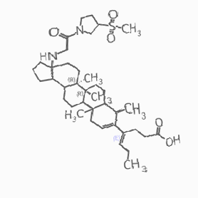 CC/C=C(\CCC(=O)O)C1=CCC2(C)C(CC[C@]3(C)C2CCC2C4CCCC4(NCC(=O)N4CCC(S(C)(=O)=O)C4)CC[C@]23C)C1C